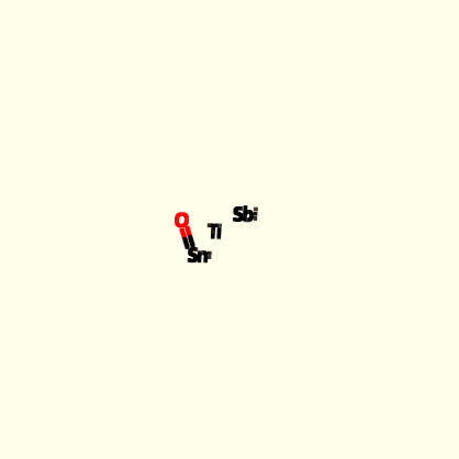 [O]=[Sn].[Sb].[Ti]